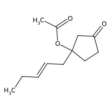 CCC=CCC1(OC(C)=O)CCC(=O)C1